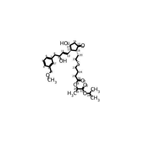 COCc1cccc(C[C@H](O)C=C[C@H]2[C@H](O)CC(=O)[C@@H]2CCSCCCC(=O)OC(C)C(=O)OC(C)C)c1